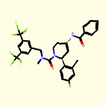 Cc1cc(F)ccc1[C@@H]1C[C@@H](NC(=O)c2ccccc2)CCN1C(=O)N(C)Cc1cc(C(F)(F)F)cc(C(F)(F)F)c1